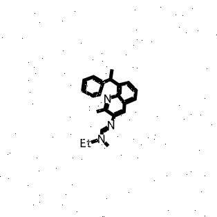 CCN(C)/C=N/c1cc2cccc(C(C)c3ccccc3)c2nc1C